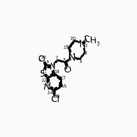 CN1CCN(C(=O)Cn2c(=O)sc3nc(Cl)ccc32)CC1